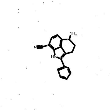 N#Cc1ccc2c3c(c(-c4ccccc4)[nH]c13)CCC2N